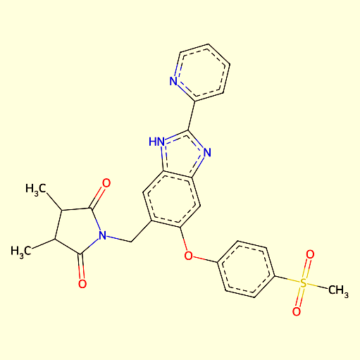 CC1C(=O)N(Cc2cc3[nH]c(-c4ccccn4)nc3cc2Oc2ccc(S(C)(=O)=O)cc2)C(=O)C1C